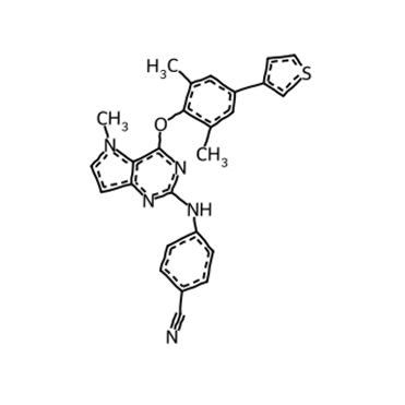 Cc1cc(-c2ccsc2)cc(C)c1Oc1nc(Nc2ccc(C#N)cc2)nc2ccn(C)c12